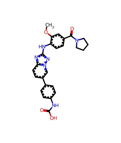 COc1cc(C(=O)N2CCCC2)ccc1Nc1nc2ccc(-c3ccc(NC(=O)O)cc3)cn2n1